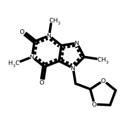 Cc1nc2c(c(=O)n(C)c(=O)n2C)n1CC1OCCO1